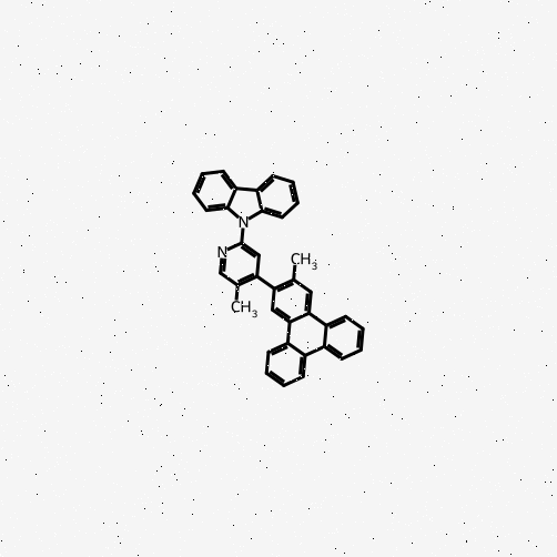 Cc1cnc(-n2c3ccccc3c3ccccc32)cc1-c1cc2c3ccccc3c3ccccc3c2cc1C